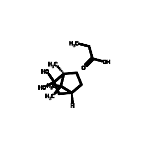 CC1(C)[C@@H]2CC[C@]1(C)C(O)(O)C2.CCC(=O)O